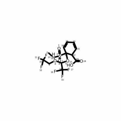 CNS(=O)(=O)C1(OC(OCC(F)(F)F)C(F)(F)F)C=CC=CC1C(=O)O